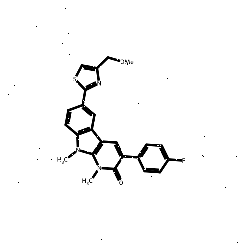 COCc1csc(-c2ccc3c(c2)c2cc(-c4ccc(F)cc4)c(=O)n(C)c2n3C)n1